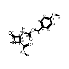 COC(=O)[C@H]1NC(=O)[C@H]1NC(=O)OCc1ccc(OC)cc1